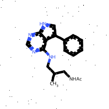 CC(=O)NCC(C)CNc1ncnc2[nH]cc(-c3ccccc3)c12